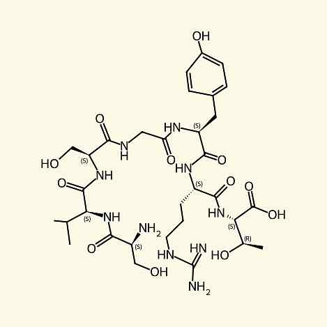 CC(C)[C@H](NC(=O)[C@@H](N)CO)C(=O)N[C@@H](CO)C(=O)NCC(=O)N[C@@H](Cc1ccc(O)cc1)C(=O)N[C@@H](CCCNC(=N)N)C(=O)N[C@H](C(=O)O)[C@@H](C)O